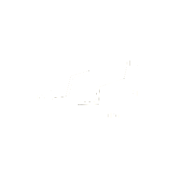 CC(C)(C)c1cc(S(=O)(=O)O)ccc1C(P)C(C)(C)C